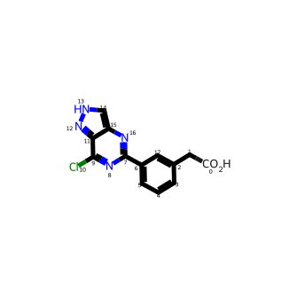 O=C(O)Cc1cccc(-c2nc(Cl)c3n[nH]cc3n2)c1